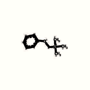 C[Si](C)(C)COc1ccccc1